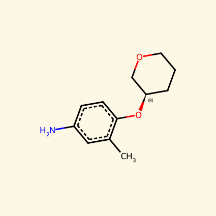 Cc1cc(N)ccc1O[C@@H]1CCCOC1